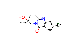 C=CC1(O)CCc2nc3cc(Br)ccc3c(=O)n2C1